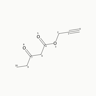 C#CCOC(=O)CC(=O)CC